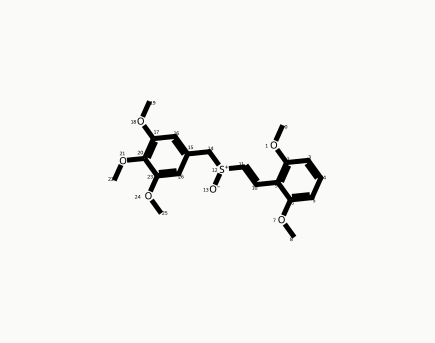 COc1cccc(OC)c1C=C[S+]([O-])Cc1cc(OC)c(OC)c(OC)c1